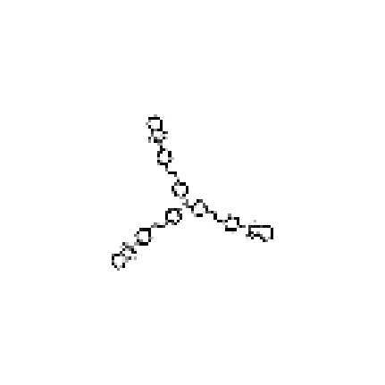 C(=C\c1ccc(N(c2ccc(/C=C/c3ccc(B4Oc5ccccc5O4)cc3)cc2)c2ccc(/C=C/c3ccc(B4Oc5ccccc5O4)cc3)cc2)cc1)/c1ccc(B2Oc3ccccc3O2)cc1